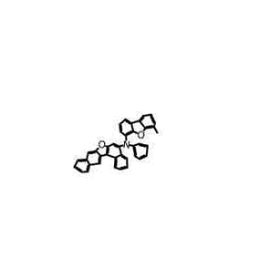 Cc1cccc2c1oc1c(N(c3ccccc3)c3cc4oc5cc6ccccc6cc5c4c4ccccc34)cccc12